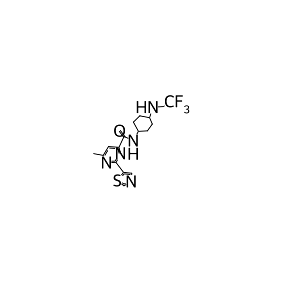 Cc1cc(C(=O)NC2CCC(NCC(F)(F)F)CC2)nc(-c2cncs2)n1